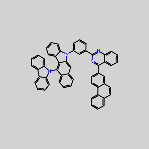 c1cc(-c2nc(-c3ccc4c(ccc5ccccc54)c3)c3ccccc3n2)cc(-n2c3ccccc3c3c(-n4c5ccccc5c5ccccc54)c4ccccc4cc32)c1